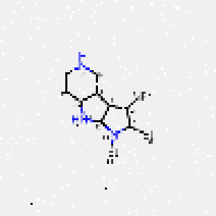 CCC1C(C(C)C)C2C3CNCCC3NC2N1CC